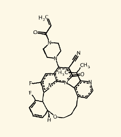 C=CC(=O)N1CCN(c2c(C#N)c(=O)n3c4nc(c(F)cc24)C2C(F)=CC=C[C@H]2OCCCc2ccnc(C(C)C)c2-3)CC1